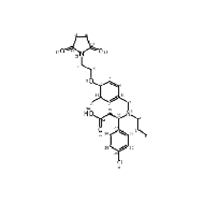 CCCN(Cc1ccc(OCCN2C(=O)CCC2=O)c(C)c1)[C@H](CC(=O)O)c1ccc(Cl)cc1